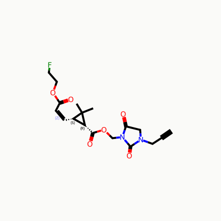 C#CCN1CC(=O)N(COC(=O)[C@@H]2[C@H](/C=C\C(=O)OCCF)C2(C)C)C1=O